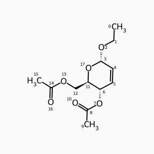 CCO[C@@H]1C=C[C@H](OC(C)=O)[C@@H](COC(C)=O)O1